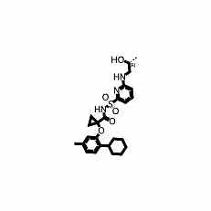 Cc1ccc(C2CCCCC2)c(OC2(C(=O)NS(=O)(=O)c3cccc(NC[C@@H](C)O)n3)CC2)c1